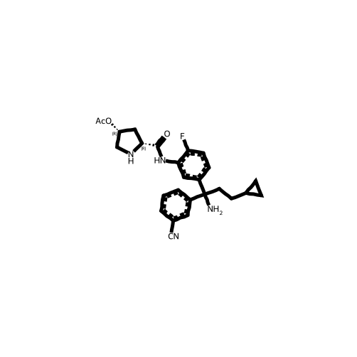 CC(=O)O[C@H]1CN[C@@H](C(=O)Nc2cc(C(N)(CCC3CC3)c3cccc(C#N)c3)ccc2F)C1